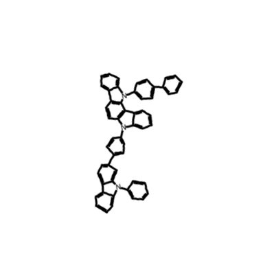 c1ccc(-c2ccc(-n3c4ccccc4c4ccc5c(c6ccccc6n5-c5ccc(-c6ccc7c8ccccc8n(-c8ccccc8)c7c6)cc5)c43)cc2)cc1